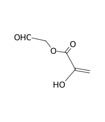 C=C(O)C(=O)OCC=O